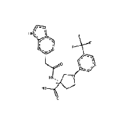 O=C(Cc1ccc2cc[nH]c2c1)N[C@@]1(C(=O)O)CCN(c2cncc(C(F)(F)F)c2)C1